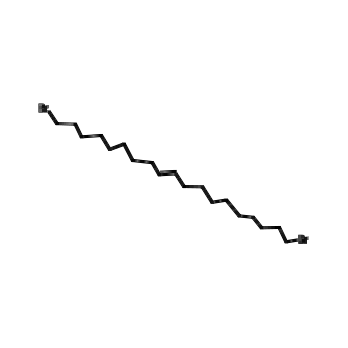 BrCCCCCCCCC=CCCCCCCCCCBr